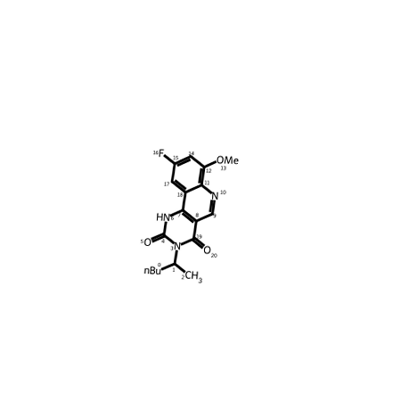 CCCCC(C)n1c(=O)[nH]c2c(cnc3c(OC)cc(F)cc32)c1=O